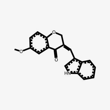 COc1ccc2c(c1)C(=O)C(=Cc1c[nH]c3ccccc13)CO2